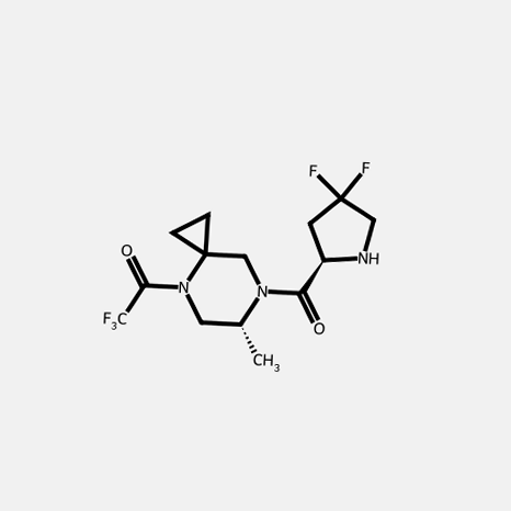 C[C@@H]1CN(C(=O)C(F)(F)F)C2(CC2)CN1C(=O)[C@H]1CC(F)(F)CN1